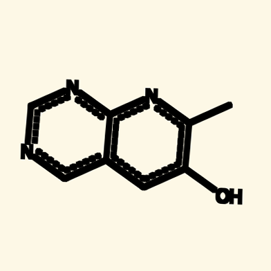 Cc1nc2ncncc2cc1O